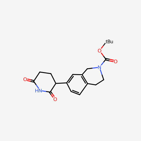 CC(C)(C)OC(=O)N1CCc2ccc(C3CCC(=O)NC3=O)cc2C1